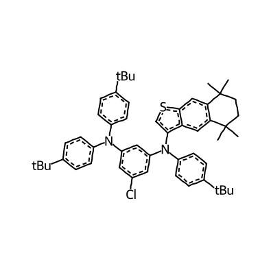 CC(C)(C)c1ccc(N(c2ccc(C(C)(C)C)cc2)c2cc(Cl)cc(N(c3ccc(C(C)(C)C)cc3)c3csc4cc5c(cc34)C(C)(C)CCC5(C)C)c2)cc1